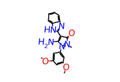 COc1cc(OC)cc(-n2c(N)c(-c3nc4ccccc4[nH]3)c(=O)n2C)c1